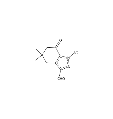 CCn1nc(C=O)c2c1C(=O)CC(C)(C)C2